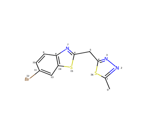 Cc1nnc(Cc2nc3ccc(Br)cc3s2)s1